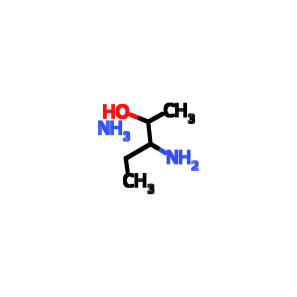 CCC(N)C(C)O.N